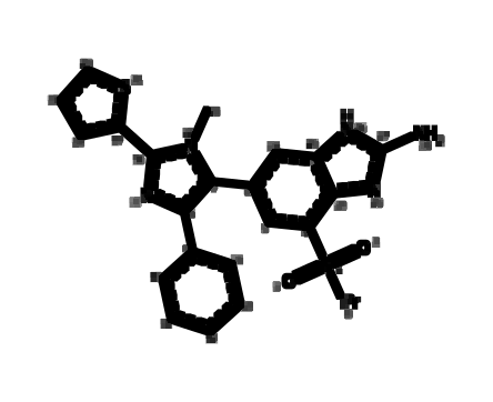 CC(C)S(=O)(=O)c1cc(-c2c(-c3ccccc3)nc(-c3cccs3)n2C)cc2[nH]c(N)nc12